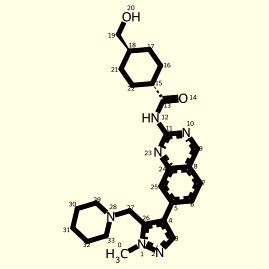 Cn1ncc(-c2ccc3cnc(NC(=O)[C@H]4CC[C@H](CO)CC4)nc3c2)c1CN1CCCCC1